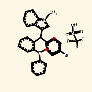 Cn1cc(C(c2ccc(Br)cc2)c2ccccc2P(c2ccccc2)c2ccccc2)c2ccccc21.O=S(=O)(O)C(F)(F)F